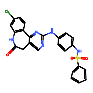 O=C1Cc2cnc(Nc3ccc(NS(=O)(=O)c4ccccc4)cc3)nc2-c2ccc(Cl)cc2N1